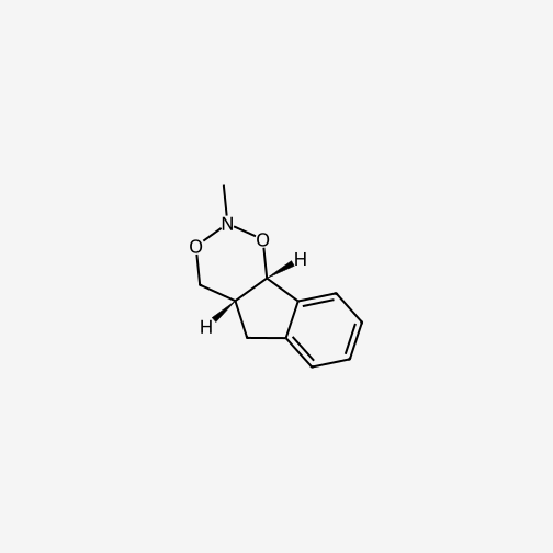 CN1OC[C@H]2Cc3ccccc3[C@H]2O1